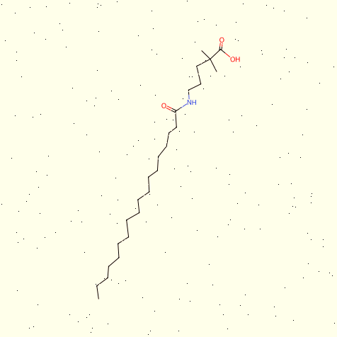 CCCCCCCCCCCCCCCCCC(=O)NCCCC(C)(C)C(=O)O